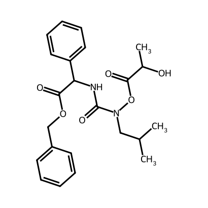 CC(C)CN(OC(=O)C(C)O)C(=O)NC(C(=O)OCc1ccccc1)c1ccccc1